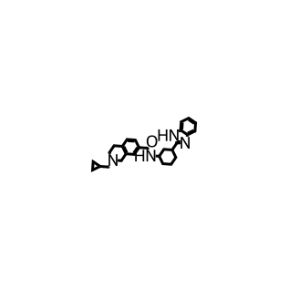 O=C(NC1CCCC(c2nc3ccccc3[nH]2)C1)c1ccc2c(c1)CN(CC1CC1)CC2